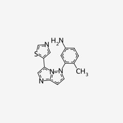 Cc1ccc(N)cc1-n1ccc2ncc(-c3cncs3)n21